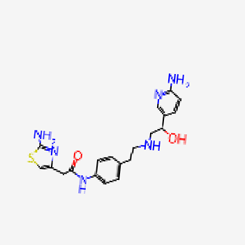 Nc1ccc(C(O)CNCCc2ccc(NC(=O)Cc3csc(N)n3)cc2)cn1